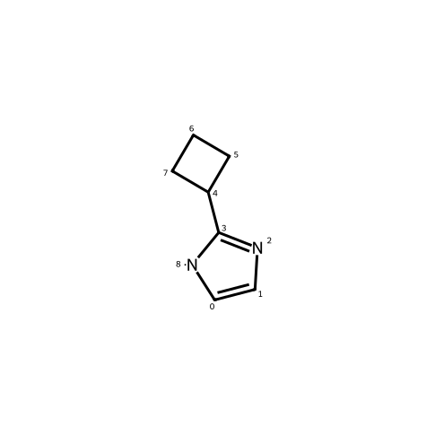 C1=CN=C(C2CCC2)[N]1